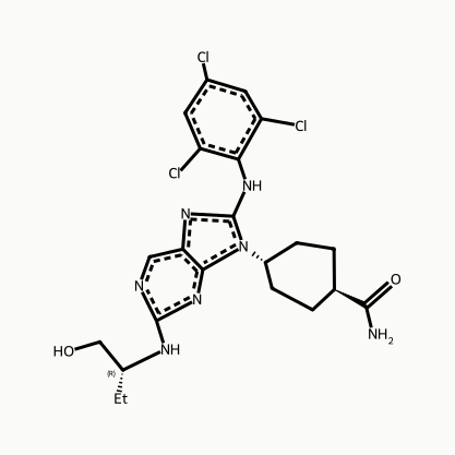 CC[C@H](CO)Nc1ncc2nc(Nc3c(Cl)cc(Cl)cc3Cl)n([C@H]3CC[C@H](C(N)=O)CC3)c2n1